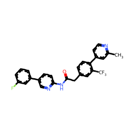 Cc1cc(-c2ccc(CC(=O)Nc3ccc(-c4cccc(F)c4)cn3)cc2C(F)(F)F)ccn1